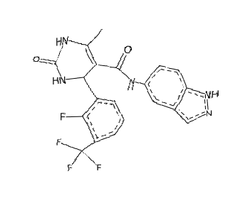 CC1=C(C(=O)Nc2ccc3[nH]ncc3c2)C(c2cccc(C(F)(F)F)c2F)NC(=O)N1